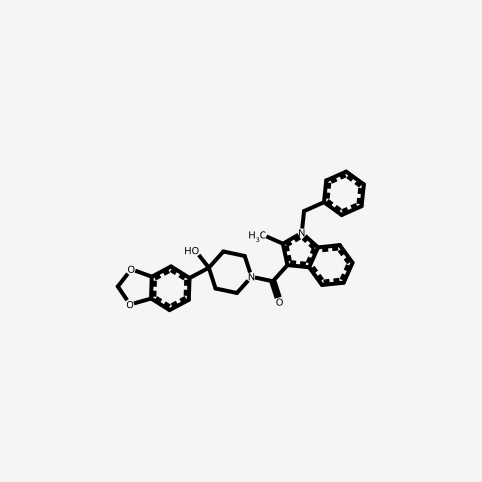 Cc1c(C(=O)N2CCC(O)(c3ccc4c(c3)OCO4)CC2)c2ccccc2n1Cc1ccccc1